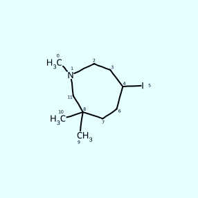 CN1CCC(I)CCC(C)(C)C1